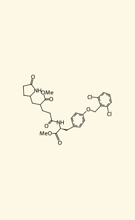 COC(=O)C(CCC(=O)N[C@@H](Cc1ccc(OCc2c(Cl)cccc2Cl)cc1)C(=O)OC)CC1CCC(=O)N1